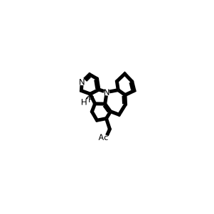 CC(=O)CC1CC[C@H]2C3=C1CC=C1C=CCCC1N3C1=CC=NC[C@@H]12